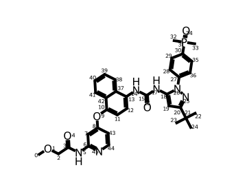 COCC(=O)Nc1cc(Oc2ccc(NC(=O)Nc3cc(C(C)(C)C)nn3-c3ccc(P(C)(C)=O)cc3)c3ccccc23)ccn1